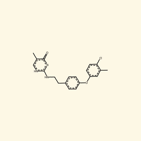 Cc1cc(Oc2ccc(CCNc3nc(=O)c(C)c[nH]3)cc2)ccc1Cl